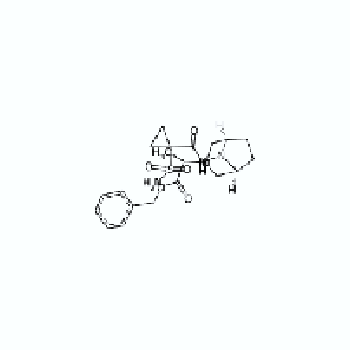 CC(C(=O)OCc1ccccc1)N1C[C@H]2CC[C@@H](C1)N2NC(=O)C1(S(N)(=O)=O)CC1